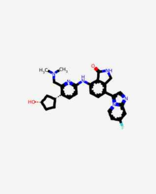 CN(C)Cc1nc(Nc2ccc(-c3cnc4cc(F)ccn34)c3c2C(=O)NC3)ccc1[C@@H]1CC[C@H](O)C1